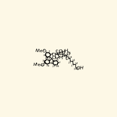 COc1ccc(C(OCC(CNC(=O)OCCCCCCO)C(Cl)(Cl)C(=O)O)(c2ccccc2)c2ccc(OC)cc2)cc1